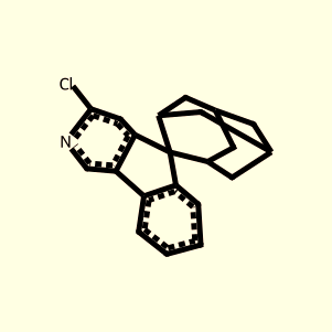 Clc1cc2c(cn1)-c1ccccc1C21C2CC3CC(C2)CC1C3